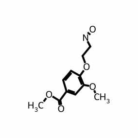 COC(=O)c1ccc(OCCN=O)c(OC)c1